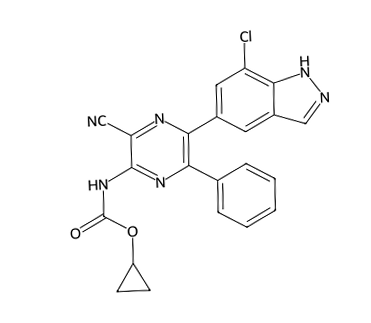 N#Cc1nc(-c2cc(Cl)c3[nH]ncc3c2)c(-c2ccccc2)nc1NC(=O)OC1CC1